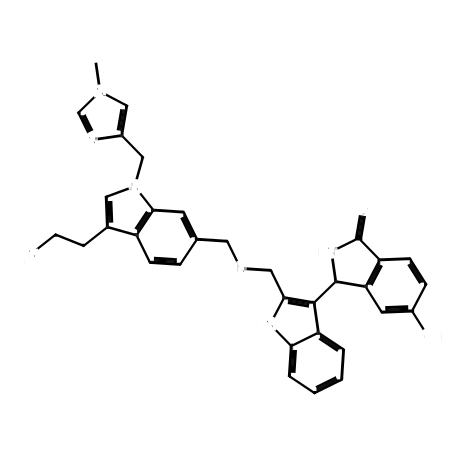 Cn1cnc(Cn2cc(CCN)c3ccc(CNCc4[nH]c5ccccc5c4C4NC(=O)c5ccc(O)cc54)cc32)c1